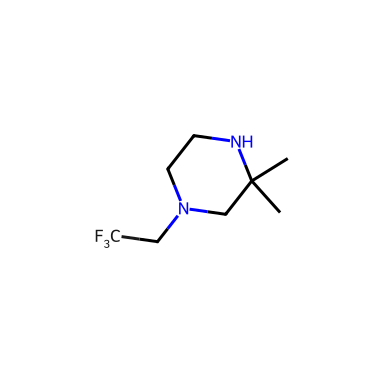 CC1(C)CN(CC(F)(F)F)CCN1